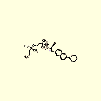 COCC(C)(C)OCCC(C)(C)NS/C(C#N)=C/c1ccc2cc(N3CCCCC3)ccc2c1